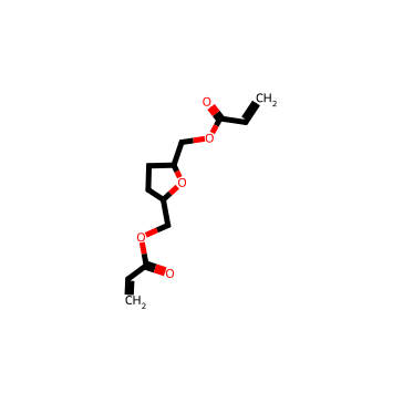 C=CC(=O)OCC1CCC(COC(=O)C=C)O1